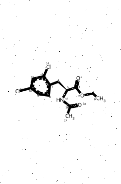 CCOC(=O)[C@H](Cc1ccc(Cl)cc1Cl)NC(C)=O